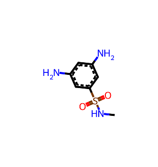 CNS(=O)(=O)c1cc(N)cc(N)c1